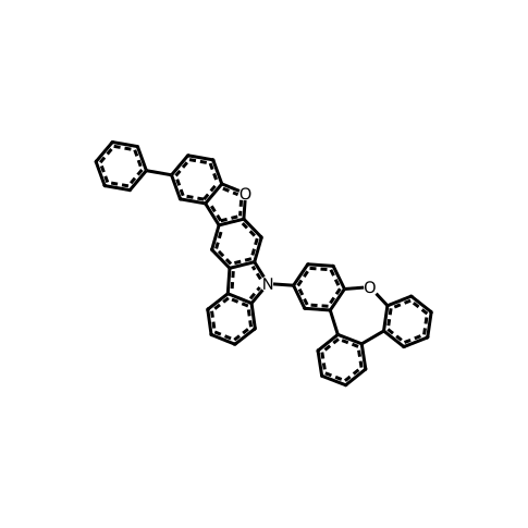 c1ccc(-c2ccc3oc4cc5c(cc4c3c2)c2ccccc2n5-c2ccc3c(c2)-c2ccccc2-c2ccccc2O3)cc1